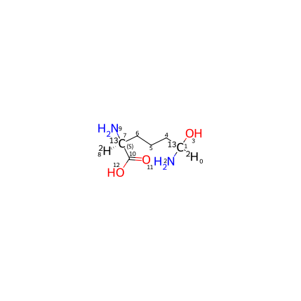 [2H][13C](N)(O)CCC[13C@]([2H])(N)C(=O)O